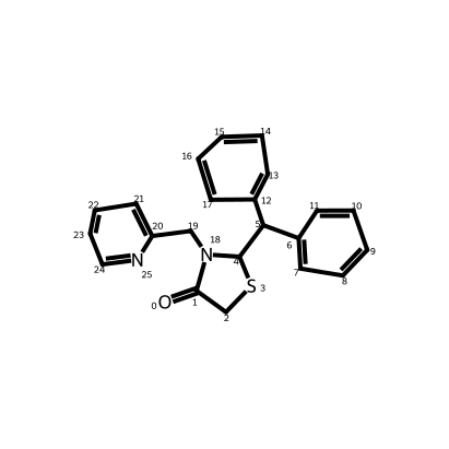 O=C1CSC(C(c2ccccc2)c2ccccc2)N1Cc1ccccn1